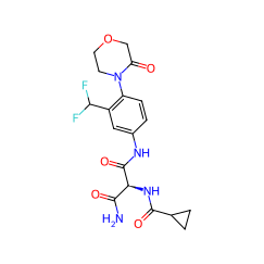 NC(=O)[C@H](NC(=O)C1CC1)C(=O)Nc1ccc(N2CCOCC2=O)c(C(F)F)c1